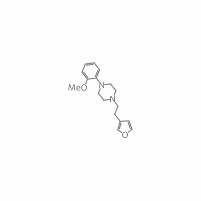 COc1ccccc1N1CCN(CCc2ccoc2)CC1